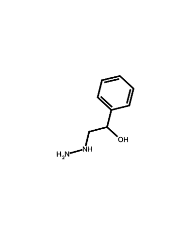 NNCC(O)c1ccccc1